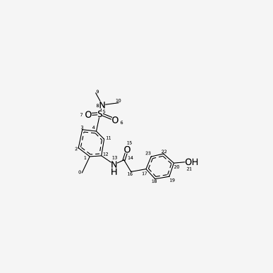 Cc1ccc(S(=O)(=O)N(C)C)cc1NC(=O)Cc1ccc(O)cc1